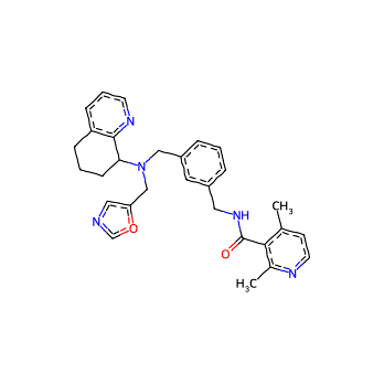 Cc1ccnc(C)c1C(=O)NCc1cccc(CN(Cc2cnco2)C2CCCc3cccnc32)c1